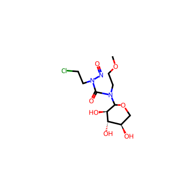 COCCN(C(=O)N(CCCl)N=O)C1OC[C@@H](O)[C@H](O)[C@H]1O